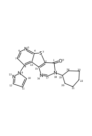 O=c1c2sc3nccc(-n4cccn4)c3c2ncn1C1CCCCC1